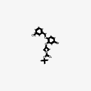 CC(C)(C)OC(=O)N1CC(Oc2cc(Br)ccc2OCc2cccc(Cl)c2)C1